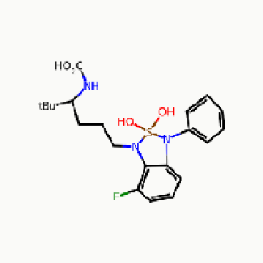 CC(C)(C)C(CCCN1c2c(F)cccc2N(c2ccccc2)S1(O)O)NC(=O)O